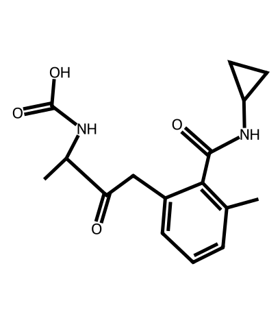 Cc1cccc(CC(=O)C(C)NC(=O)O)c1C(=O)NC1CC1